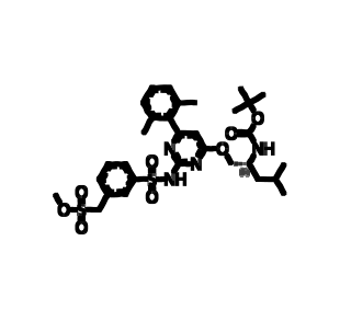 COS(=O)(=O)Cc1cccc(S(=O)(=O)Nc2nc(OC[C@@H](CC(C)C)NC(=O)OC(C)(C)C)cc(-c3c(C)cccc3C)n2)c1